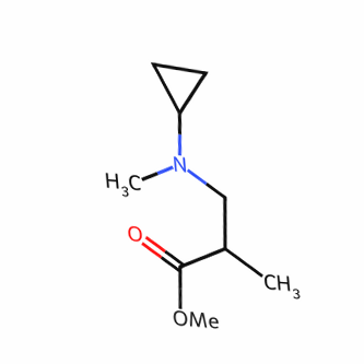 COC(=O)C(C)CN(C)C1CC1